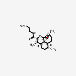 COCCNC(=O)[C@@H]1O[C@@H]2O[C@@]3(C)CC[C@H]4[C@H](C)CC[C@@H]([C@H]1C)[C@@]24OO3